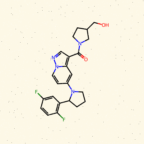 O=C(c1cnn2ccc(N3CCCC3c3cc(F)ccc3F)cc12)N1CCC(CO)C1